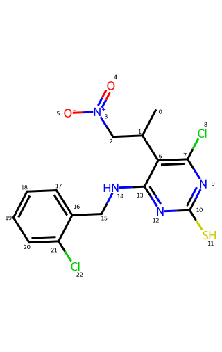 CC(C[N+](=O)[O-])c1c(Cl)nc(S)nc1NCc1ccccc1Cl